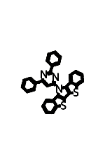 c1ccc(-c2cc(-n3c4c5ccccc5sc4c4sc5ccccc5c43)nc(-c3ccccc3)n2)cc1